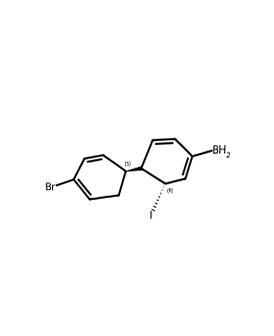 BC1=C[C@H](I)C([C@@H]2C=CC(Br)=CC2)C=C1